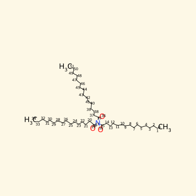 CCCCCCCCCCCCCCCC(=O)N(C(=O)CCCCCCCCCCCCCCC)C(=O)CCCCCCCCCCCCCCC